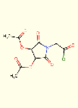 CC(=O)OC1C(=O)N(CC(=O)Cl)C(=O)C1OC(C)=O